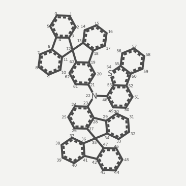 c1ccc2c(c1)-c1ccccc1C21c2ccccc2-c2cc(N(c3cccc4c3-c3ccccc3C43c4ccccc4-c4ccccc43)c3cccc4c3sc3ccccc34)ccc21